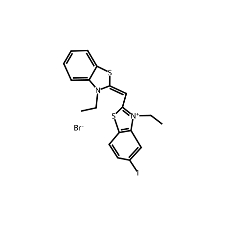 CCN1C(=Cc2sc3ccc(I)cc3[n+]2CC)Sc2ccccc21.[Br-]